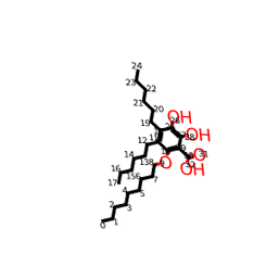 CCCCCCCCCOc1c(CCCCCC)c(CCCCCC)c(O)c(O)c1C(=O)O